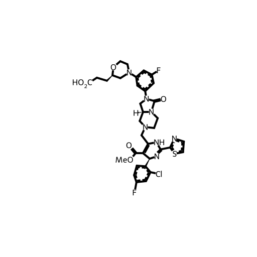 COC(=O)C1=C(CN2CCN3C(=O)N(c4cc(F)cc(N5CCO[C@H](CCC(=O)O)C5)c4)C[C@@H]3C2)NC(c2nccs2)=N[C@H]1c1ccc(F)cc1Cl